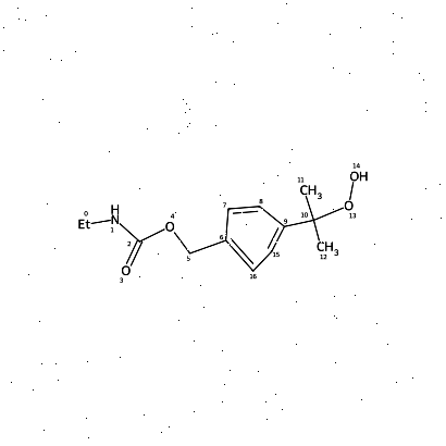 CCNC(=O)OCc1ccc(C(C)(C)OO)cc1